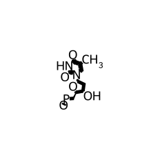 Cc1cn([C@H]2CC(O)[C@@H](CP=O)O2)c(=O)[nH]c1=O